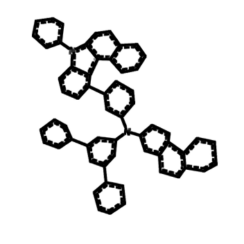 c1ccc(-c2cc(-c3ccccc3)cc(N(c3cccc(-c4cccc5c4c4c6ccccc6ccc4n5-c4ccccc4)c3)c3ccc4c(ccc5ccccc54)c3)c2)cc1